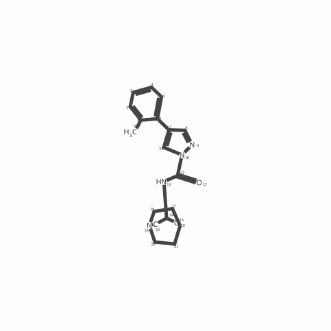 Cc1ccccc1-c1cnn(C(=O)NC2CC3CCN(CC3)C2)c1